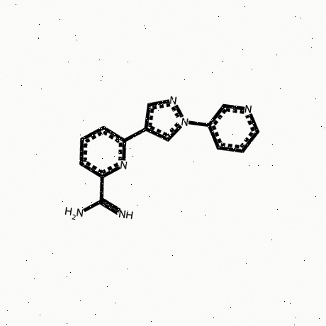 N=C(N)c1cccc(-c2cnn(-c3cccnc3)c2)n1